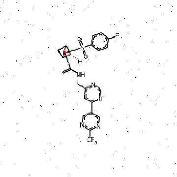 C=C(NCc1cc(-c2cnc(C(F)(F)F)nc2)ncn1)[C@@H]1C2CC(C2)N1S(=O)(=O)c1ccc(F)cc1